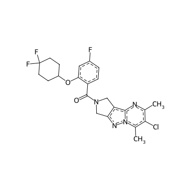 Cc1nc2c3c(nn2c(C)c1Cl)CN(C(=O)c1ccc(F)cc1OC1CCC(F)(F)CC1)C3